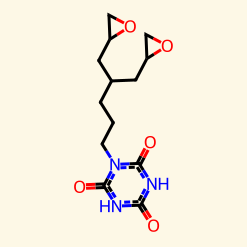 O=c1[nH]c(=O)n(CCCC(CC2CO2)CC2CO2)c(=O)[nH]1